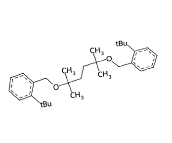 CC(C)(CCC(C)(C)OCc1ccccc1C(C)(C)C)OCc1ccccc1C(C)(C)C